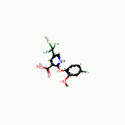 COc1cc(F)ccc1Oc1ncc(C(F)(F)F)cc1C(=O)O